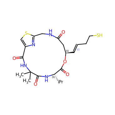 CC(C)[C@@H]1NC(=O)C(C)(C)NC(=O)c2csc(n2)CNC(=O)C[C@@H](/C=C/CCS)OC1=O